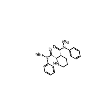 CCCCN(C(=O)[C@H]1NCCC[C@H]1C(=O)N(CCCC)c1ccccc1)c1ccccc1